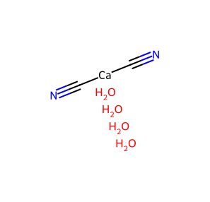 N#[C][Ca][C]#N.O.O.O.O